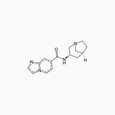 O=C(N[C@@H]1C[C@@H]2CCN(C2)C1)c1ccn2ccnc2c1